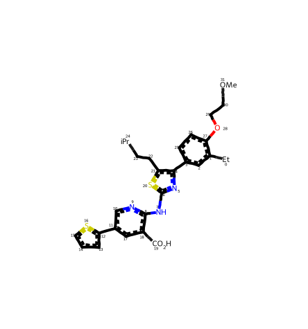 CCc1cc(-c2nc(Nc3ncc(-c4cccs4)cc3C(=O)O)sc2CCC(C)C)ccc1OCCOC